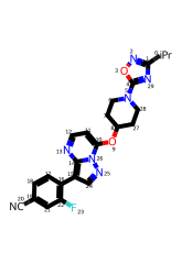 CC(C)c1noc(N2CCC(Oc3ccnc4c(-c5ccc(C#N)cc5F)cnn34)CC2)n1